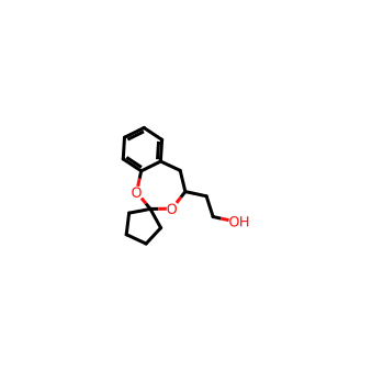 OCCC1Cc2ccccc2OC2(CCCC2)O1